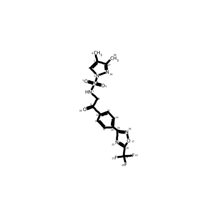 Cc1cn(S(=O)(=O)NCC(=O)c2ccc(-c3noc(C(F)(F)F)n3)cc2)nc1C